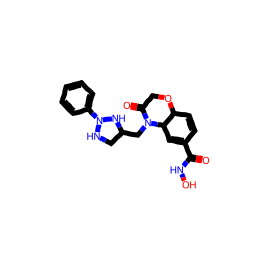 O=C(NO)C1=CC2C(C=C1)OCC(=O)N2CC1CNN(c2ccccc2)N1